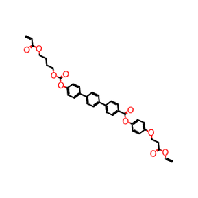 C=COC(=O)CCOc1ccc(OC(=O)c2ccc(-c3ccc(-c4ccc(OC(=O)OCCCCOC(=O)C=C)cc4)cc3)cc2)cc1